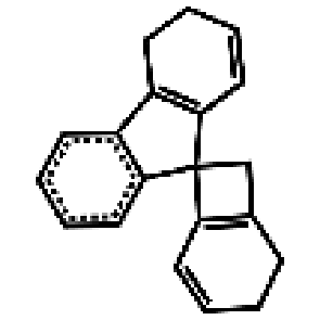 C1=CC2=C(CC1)CC21C2=C(CCC=C2)c2ccccc21